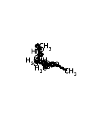 CCCCCCCOc1ccc(C(=O)Oc2ccc(CC(NC(=O)c3cccc(NC(=O)c4sccc4C)c3)C(C)=O)cc2OC)cc1